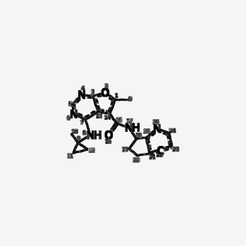 Cc1oc2ncnc(NC3(C)CC3)c2c1C(=O)NC1CCc2cccnc21